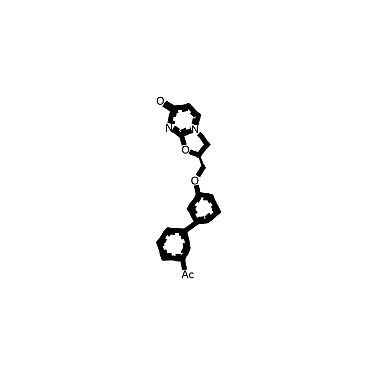 CC(=O)c1cccc(-c2cccc(OC[C@@H]3Cn4ccc(=O)nc4O3)c2)c1